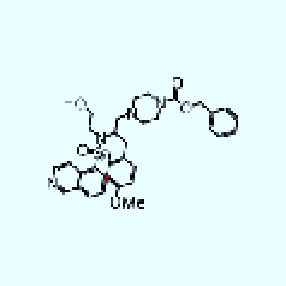 COc1ccc(CC(CN2CCN(C(=O)OCc3ccccc3)CC2)N(CCO)S(=O)(=O)c2cccc3cnccc23)cc1